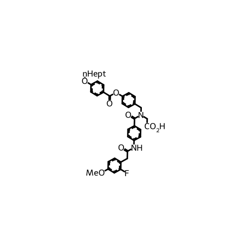 CCCCCCCOc1ccc(C(=O)Oc2ccc(CN(CC(=O)O)C(=O)c3ccc(NC(=O)Cc4ccc(OC)cc4F)cc3)cc2)cc1